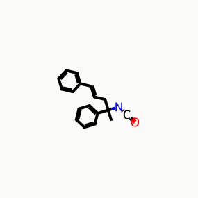 CC(CC=Cc1ccccc1)(N=C=O)c1ccccc1